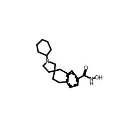 O=C(NO)c1ccc2c(c1)CC1(CC2)CCN(C2CCCCC2)C1